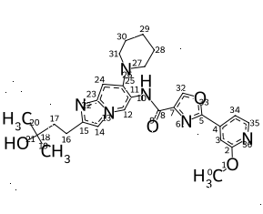 COc1cc(-c2nc(C(=O)Nc3cn4cc(CCC(C)(C)O)nc4cc3N3CCCCC3)co2)ccn1